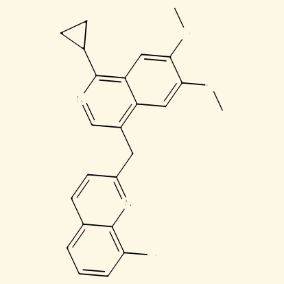 COc1cc2c(Cc3ccc4cccc(O)c4n3)cnc(C3CC3)c2cc1OC